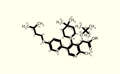 Cc1ncc(-c2ccc(OCCC(C)C)cn2)c(N2CCC(C)(C)CC2)c1[C@H](OC(C)(C)C)C(=O)O